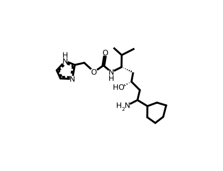 CC(C)[C@H](C[C@@H](O)CC(N)C1CCCCC1)NC(=O)OCc1ncc[nH]1